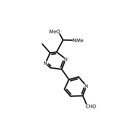 CNC(OC)c1nc(-c2ccc(C=O)nc2)cnc1C